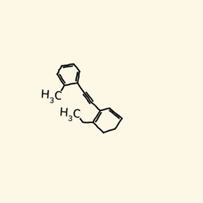 CCC1=C(C#Cc2ccccc2C)C=CCC1